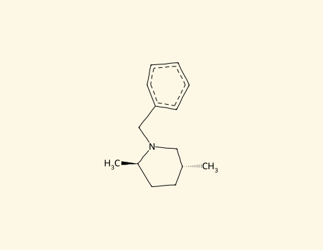 C[C@@H]1CC[C@@H](C)N(Cc2ccccc2)C1